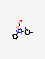 Cc1ccc(-c2nc(OCCO)nc(-c3ccccc3)n2)c(C)c1